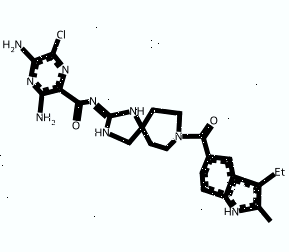 CCc1c(C)[nH]c2ccc(C(=O)N3CCC4(CC3)CN/C(=N\C(=O)c3nc(Cl)c(N)nc3N)N4)cc12